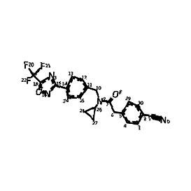 N#Cc1ccc(CC(=O)N(Cc2ccc(-c3noc(C(F)(F)F)n3)cc2)C2CC2)cc1